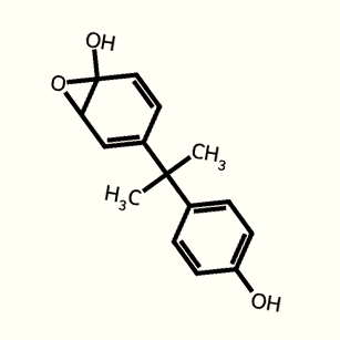 CC(C)(C1=CC2OC2(O)C=C1)c1ccc(O)cc1